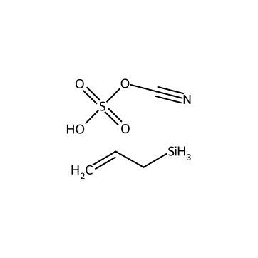 C=CC[SiH3].N#COS(=O)(=O)O